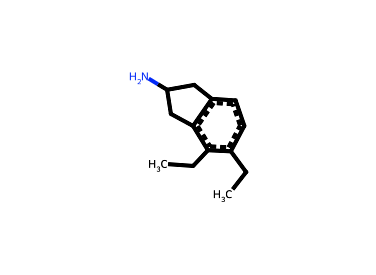 CCc1ccc2c(c1CC)CC(N)C2